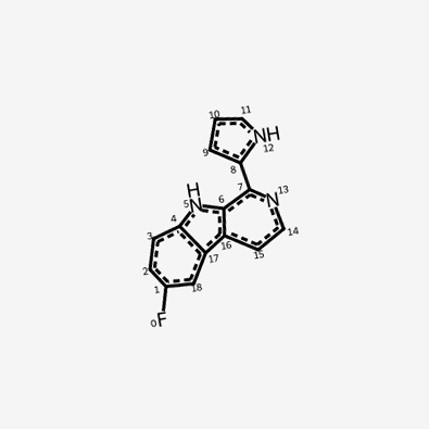 Fc1ccc2[nH]c3c(-c4ccc[nH]4)nccc3c2c1